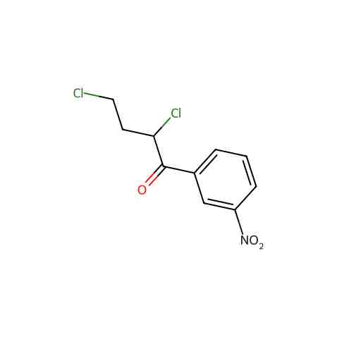 O=C(c1cccc([N+](=O)[O-])c1)C(Cl)CCCl